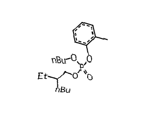 CCCCOP(=O)(OCC(CC)CCCC)Oc1ccccc1C